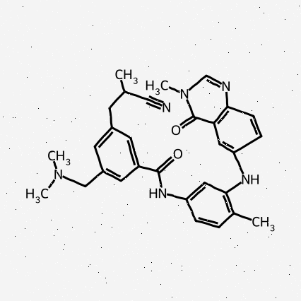 Cc1ccc(NC(=O)c2cc(CC(C)C#N)cc(CN(C)C)c2)cc1Nc1ccc2ncn(C)c(=O)c2c1